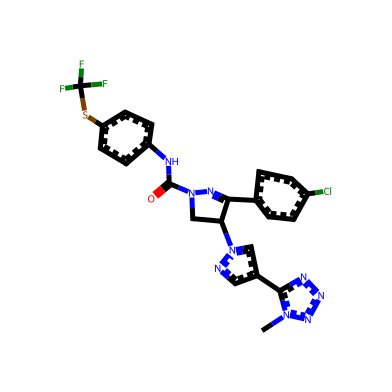 Cn1nnnc1-c1cnn(C2CN(C(=O)Nc3ccc(SC(F)(F)F)cc3)N=C2c2ccc(Cl)cc2)c1